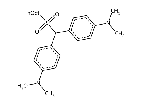 CCCCCCCCS(=O)(=O)C(c1ccc(N(C)C)cc1)c1ccc(N(C)C)cc1